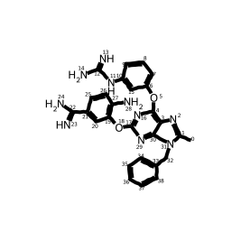 Cc1nc2c(Oc3cccc(NC(=N)N)c3)nc(Oc3cc(C(=N)N)ccc3N)nc2n1Cc1ccccc1